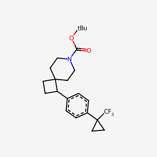 CC(C)(C)OC(=O)N1CCC2(CCC2c2ccc(C3(C(F)(F)F)CC3)cc2)CC1